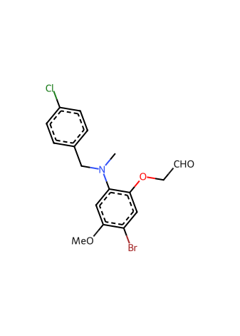 COc1cc(N(C)Cc2ccc(Cl)cc2)c(OCC=O)cc1Br